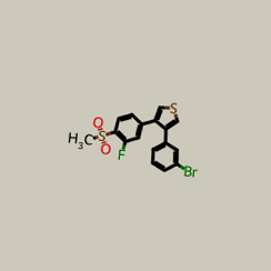 CS(=O)(=O)c1ccc(-c2cscc2-c2cccc(Br)c2)cc1F